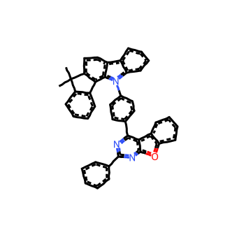 CC1(C)c2ccccc2-c2c1ccc1c3ccccc3n(-c3ccc(-c4nc(-c5ccccc5)nc5oc6ccccc6c45)cc3)c21